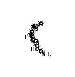 Nc1ccc(C(O)CNCC2CCc3cc(NS(=O)(=O)c4ccc(-n5nnn(CCC6CCCC6)c5=O)cc4)ccc3O2)cn1